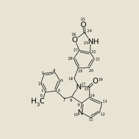 Cc1ccccc1CC1c2ncccc2C(=O)N1Cc1ccc2[nH]c(=O)oc2c1